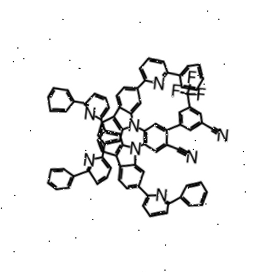 N#Cc1cc(-c2cc(-n3c4cc(-c5cccc(-c6ccccc6)n5)ccc4c4ccc(-c5cccc(-c6ccccc6)n5)cc43)c(-n3c4cc(-c5cccc(-c6ccccc6)n5)ccc4c4ccc(-c5cccc(-c6ccccc6)n5)cc43)cc2C#N)cc(C(F)(F)F)c1